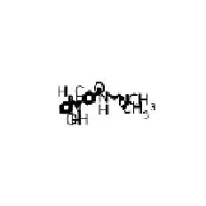 CCN(CC)CCCNC(=O)c1ccc(-c2nc3cccc(O)c3[nH]2)c(C)c1